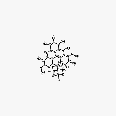 CC(C)(C)C(OC1OC(CO)C(O)C(OC2OC(CO)C(O)C(O)C2O)C1OC1OC(CO)C(O)C(O)C1O)(C(C)(C)C)C(C)(C)C